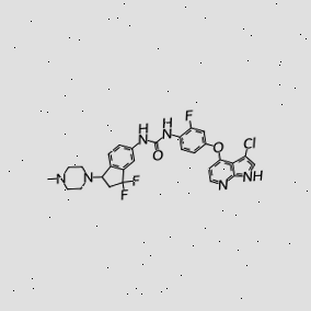 CN1CCN(C2CC(F)(F)c3cc(NC(=O)Nc4ccc(Oc5ccnc6[nH]cc(Cl)c56)cc4F)ccc32)CC1